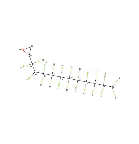 FC(F)C(F)(F)C(F)(F)C(F)(F)C(F)(F)C(F)(F)C(F)(F)C(F)(F)C(F)(F)C(F)C(F)(F)C1CO1